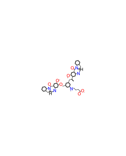 C=C(Cc1cc(COc2cc3c(cc2OC)C(=O)N2c4ccccc4C[C@H]2C=N3)cc(N(C)CCCC(=O)OC)c1)c1cc2c(cc1OC)C(=O)N1c3ccccc3C[C@H]1C=N2